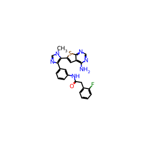 Cn1cnc(-c2cccc(NC(=O)Cc3ccccc3F)c2)c1-c1cc2c(N)ncnc2s1